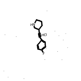 Cl.Fc1ccc(C#CC2CCCNC2)cc1